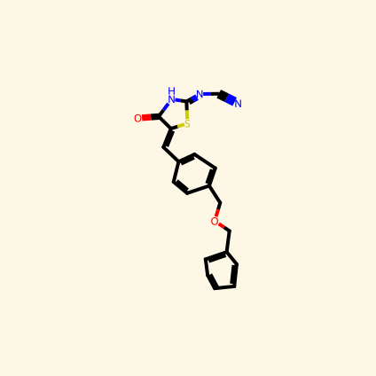 N#CN=C1NC(=O)C(=Cc2ccc(COCc3ccccc3)cc2)S1